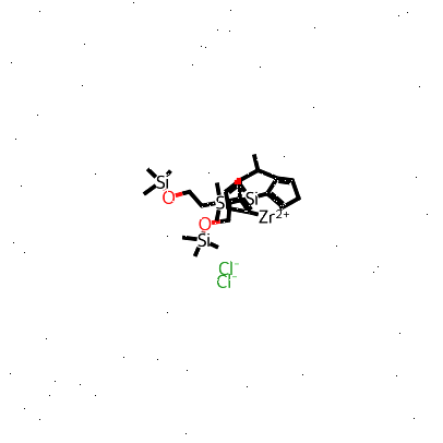 CC1C2=CC[C](=C2[Si](C)(C)CCO[Si](C)(C)C)[Zr+2][C]2=C([Si](C)(C)CCO[Si](C)(C)C)C1=CC2.[Cl-].[Cl-]